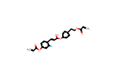 C=CC(=O)OCCc1ccc(OC(O)/C=C/c2ccc(OC(=O)C=C)cc2F)cc1